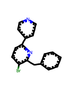 Brc1ccc(-c2ccncc2)nc1Cc1ccccc1